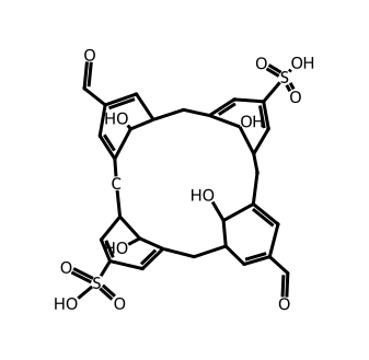 O=CC1=CC2CC3=CC(S(=O)(=O)O)=CC(CC4=CC(C=O)=CC(CC5=CC(S(=O)(=O)O)=CC(CC(=C1)C2O)C5O)C4O)C3O